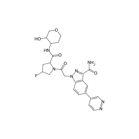 NC(=O)c1nn(CC(=O)N2CC(F)CC2C(=O)NC2CCOCC2O)c2ccc(-c3ccnnc3)cc12